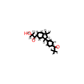 CC(C)(C)C(=O)c1ccc(C2(C)CC(C)(C)c3ccc(C(=O)C(C)(C)O)cc32)cc1